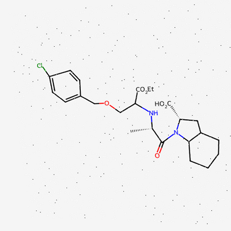 CCOC(=O)C(COCc1ccc(Cl)cc1)N[C@@H](C)C(=O)N1C2CCCCC2C[C@H]1C(=O)O